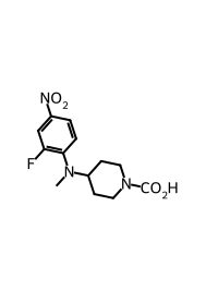 CN(c1ccc([N+](=O)[O-])cc1F)C1CCN(C(=O)O)CC1